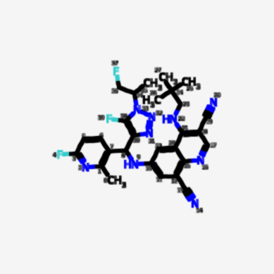 Cc1nc(F)ccc1C(Nc1cc(C#N)c2ncc(C#N)c(NCC(C)(C)C)c2c1)c1nnn(C(C)CF)c1F